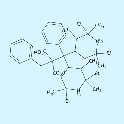 CCC1(C)CC(C(c2ccccc2)(C2CC(C)(CC)NC(C)(CC)C2C)C(Cc2ccccc2)(C(=O)O)C(=O)O)C(C)C(C)(CC)N1